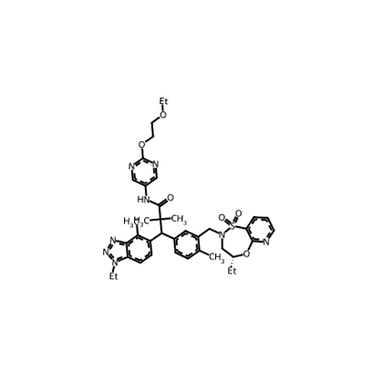 CCOCCOc1ncc(NC(=O)C(C)(C)C(c2ccc(C)c(CN3C[C@@H](CC)Oc4ncccc4S3(=O)=O)c2)c2ccc3c(nnn3CC)c2C)cn1